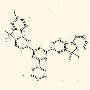 CC1(C)c2ccc(-c3nc(-c4ccccc4)nc(-c4ccc5c(c4)C(C)(C)c4ccccc4-5)n3)cc2-c2ccc(I)cc21